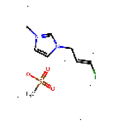 C[n+]1ccn(CC=CF)c1.O=S(=O)([O-])C(F)(F)F